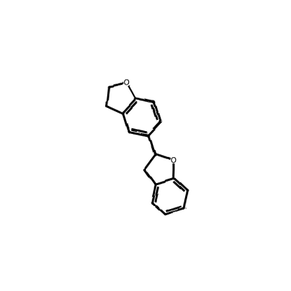 [c]1ccc2c(c1)OC(c1ccc3c(c1)CCO3)C2